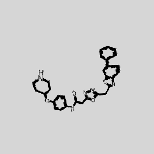 O=C(Cc1nnc(Cc2nc3ccc(-c4ccccc4)cc3s2)o1)Nc1ccc(OC2CCNCC2)cc1